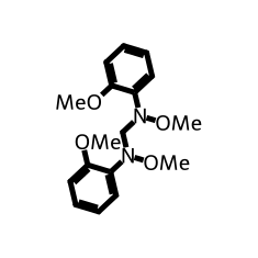 COc1ccccc1N(CN(OC)c1ccccc1OC)OC